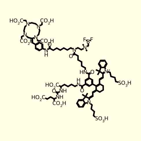 CC1(C)C(/C=C/C2=C(c3cc(C(=O)NCCCCCC(=O)N(CCCCCCC(=O)Nc4ccc(CC5CN(CC(=O)O)CCN(CC(=O)O)CCN(CC(=O)O)CCN5CC(=O)O)cc4)CC[N+](C)(C)CB(F)F)cc(C(=O)NCCCCC(NC(=O)NC(CCC(=O)O)C(=O)O)C(=O)O)c3)C(=C/C=C3/N(CCCCS(=O)(=O)O)c4ccccc4C3(C)C)/CCC2)=[N+](CCCCS(=O)(=O)O)c2ccccc21